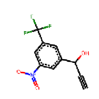 C#CC(O)c1cc([N+](=O)[O-])cc(C(F)(F)F)c1